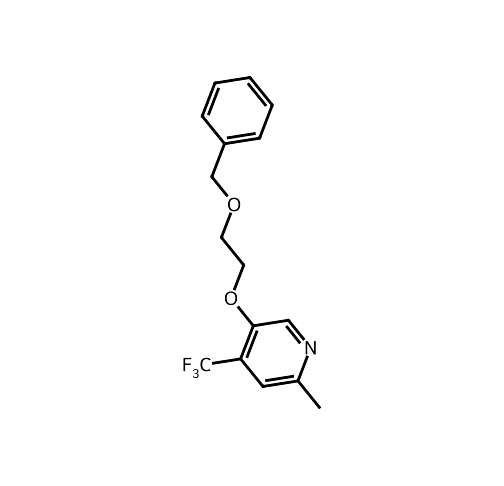 Cc1cc(C(F)(F)F)c(OCCOCc2ccccc2)cn1